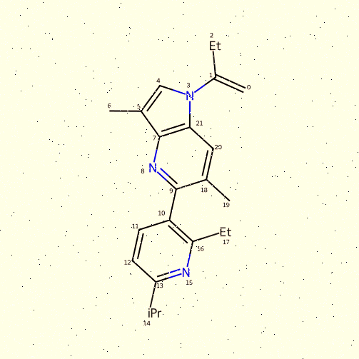 C=C(CC)n1cc(C)c2nc(-c3ccc(C(C)C)nc3CC)c(C)cc21